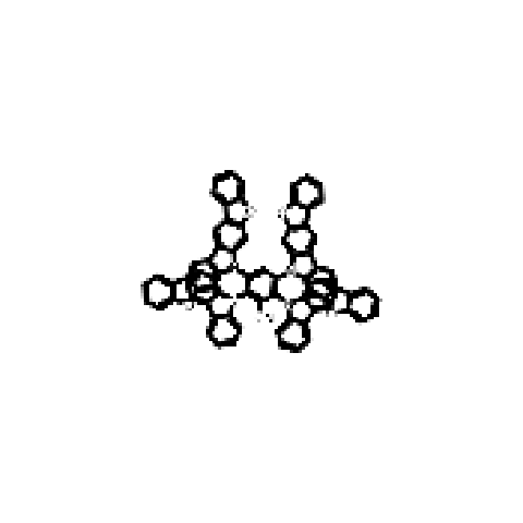 N#Cc1c(-n2c3ccccc3c3ccccc32)c(-n2c3cc4oc5ccccc5c4cc3c3cc4c(cc32)oc2ccccc24)cc(-n2c3cc4oc5ccccc5c4cc3c3cc4c(cc32)oc2ccccc24)c1-n1c2ccccc2c2ccccc21